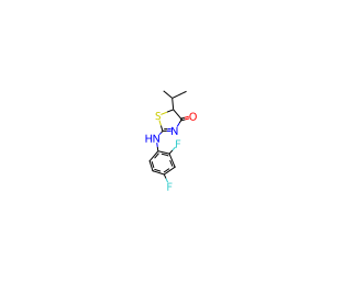 CC(C)C1SC(Nc2ccc(F)cc2F)=NC1=O